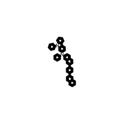 c1ccc(N(c2ccc3ccc(-c4ccc(-c5ccc6ccccc6c5)cc4)cc3c2)c2ccc3c4ccccc4n(-c4ccccc4)c3c2)cc1